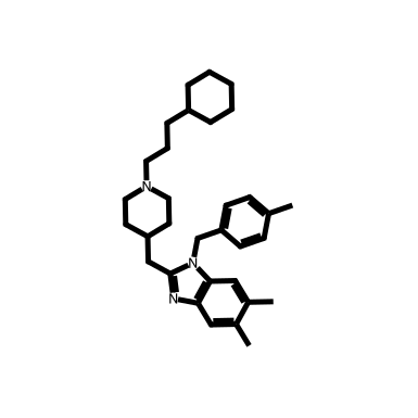 Cc1ccc(Cn2c(CC3CCN(CCCC4CCCCC4)CC3)nc3cc(C)c(C)cc32)cc1